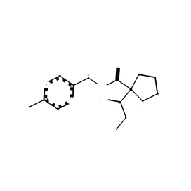 CCC(O)C1(C(=O)OCc2cnc(C)cn2)CCCC1